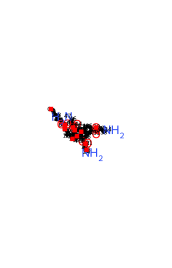 CCCCCCOC(=O)CCC(C)C1CC[C@H]2C3[C@H](OC(=O)CCN)CC4C[C@H](OC(=O)CCN)CCC4(C)[C@H]3C[C@H](OC(=O)CCN)C12C